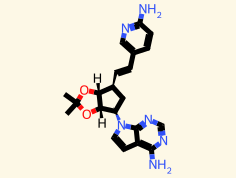 CC1(C)O[C@@H]2[C@H](O1)[C@@H](/C=C/c1ccc(N)nc1)C[C@H]2n1ccc2c(N)ncnc21